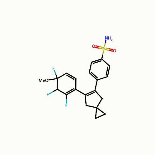 COC1(F)C=CC(C2=C(c3ccc(S(N)(=O)=O)cc3)CC3(CC3)C2)=C(F)C1F